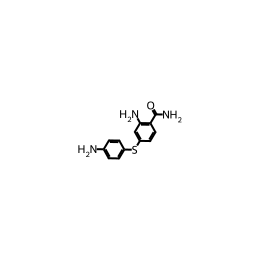 NC(=O)c1ccc(Sc2ccc(N)cc2)cc1N